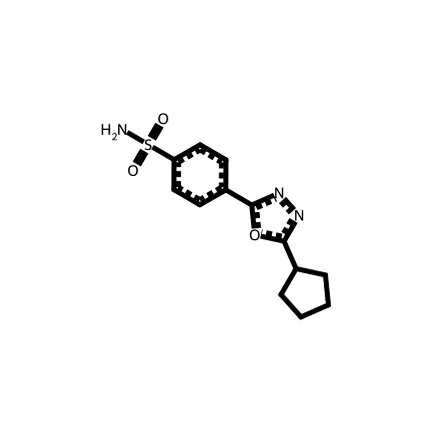 NS(=O)(=O)c1ccc(-c2nnc(C3CCCC3)o2)cc1